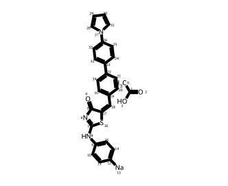 CC(=O)O.O=C1N=C(Nc2cc[c]([Na])cc2)S/C1=C/c1ccc(-c2ccc(-n3cccc3)cc2)cc1